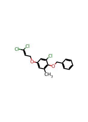 Cc1cc(OCC=C(Cl)Cl)cc(Cl)c1OCc1ccccc1